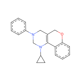 c1ccc(N2CC3=C(c4ccccc4OC3)N(C3CC3)C2)cc1